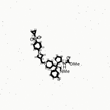 CNC[C@@](c1cccc(F)c1)(C1CCN(CC2CN(c3ccc(S(=O)(=O)C4CC4)cc3)C2)CC1)[C@H]1CCC[C@@H]1NC(=O)OC